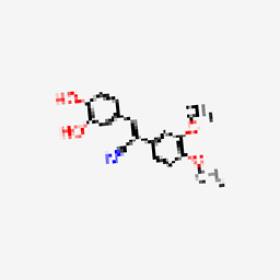 COc1ccc(C(C#N)=Cc2ccc(O)c(O)c2)cc1OC